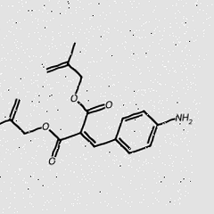 C=C(C)COC(=O)C(=Cc1ccc(N)cc1)C(=O)OCC(=C)C